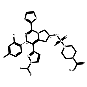 COC(=O)N1CCN(S(=O)(=O)N[C@H]2CC3=C(c4ccn(C(F)F)n4)[C@H](c4ccc(F)cc4Cl)N=C(c4nccs4)N3C2)CC1